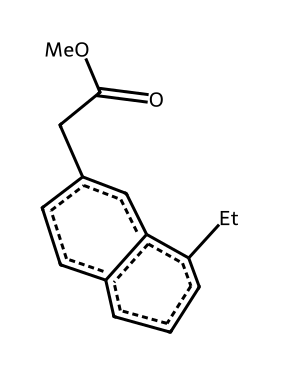 CCc1cccc2ccc(CC(=O)OC)cc12